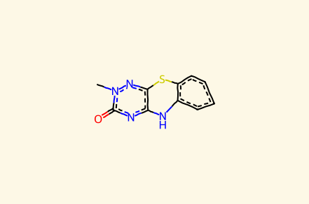 Cn1nc2c(nc1=O)Nc1ccccc1S2